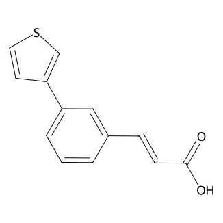 O=C(O)C=Cc1cccc(-c2ccsc2)c1